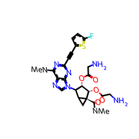 CNC(=O)[C@@]12CC1C(n1cnc3c(NC)nc(C#Cc4ccc(F)s4)nc31)[C@H](OC(=O)CN)[C@@H]2OC(=O)CN